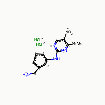 CNc1nc(Nc2cccc(CN)c2)ncc1[N+](=O)[O-].Cl.Cl